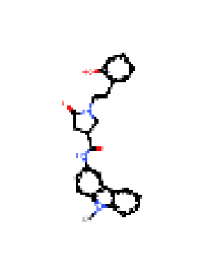 CCn1c2ccccc2c2cc(NC(=O)C3CC(=O)N(C=Cc4ccccc4O)C3)ccc21